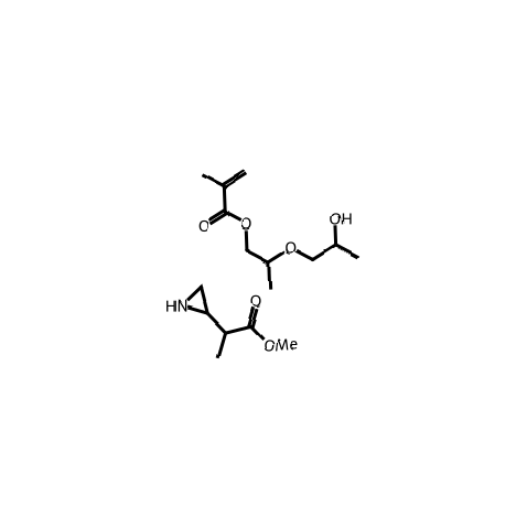 C=C(C)C(=O)OCC(C)OCC(C)O.COC(=O)C(C)C1CN1